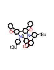 CC(C)(C)c1ccc(N2B3c4cc5occc5cc4N(c4ccc(C(C)(C)C)cc4-c4ccccc4)c4c3c(cc3c4oc4ccccc43)-c3cc4c(cc32)oc2ccccc24)cc1